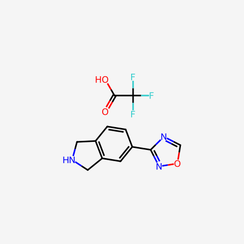 O=C(O)C(F)(F)F.c1nc(-c2ccc3c(c2)CNC3)no1